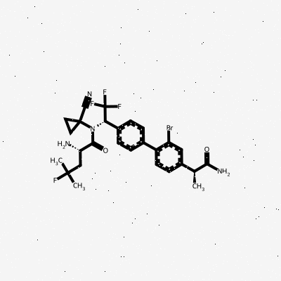 C[C@H](C(N)=O)c1ccc(-c2ccc([C@H](N(C(=O)[C@@H](N)CC(C)(C)F)C3(C#N)CC3)C(F)(F)F)cc2)c(Br)c1